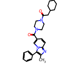 Cc1nc2ccc(C(=O)N3CCN(C(=O)CC4CCCCC4)CC3)cn2c1-c1ccccc1